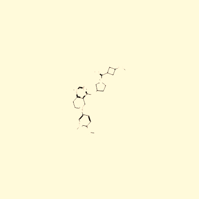 COC1CC(C(=O)N2CCC(Oc3ncnc4c3CN(C3=CN(C)[C@@H](OC)C=C3)CC4)C2)C1